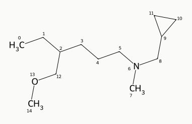 CCC(CCCN(C)CC1CC1)COC